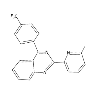 Cc1cccc(-c2nc(-c3ccc(C(F)(F)F)cc3)c3ccccc3n2)n1